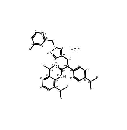 Cc1ccnc(Cn2cc(CN(C(=O)Nc3c(C(C)C)cccc3C(C)C)c3ccc(C(C)C)cc3)cn2)c1.Cl